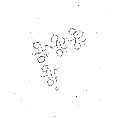 CP(C)CC(C)(CP(C)C)C(P)(c1ccccc1)c1ccccc1.CP(C)CC(C)(CP(C)C)C(P)(c1ccccc1)c1ccccc1.CP(C)CC(C)(CP(C)C)C(P)(c1ccccc1)c1ccccc1.CP(C)CC(C)(CP(C)C)C(P)(c1ccccc1)c1ccccc1.[S-2].[S-2]